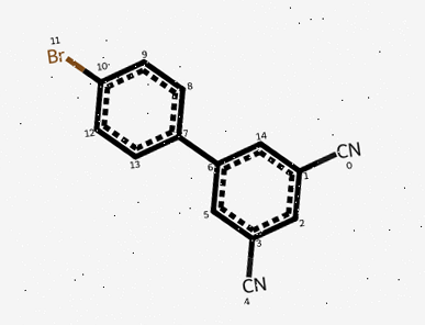 N#Cc1cc(C#N)cc(-c2ccc(Br)cc2)c1